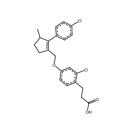 CC1CCC(COc2ccc(CCC(=O)O)c(Cl)c2)=C1c1ccc(Cl)cc1